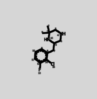 CC1(C)CNCC(Cc2cccc(F)c2Cl)N1